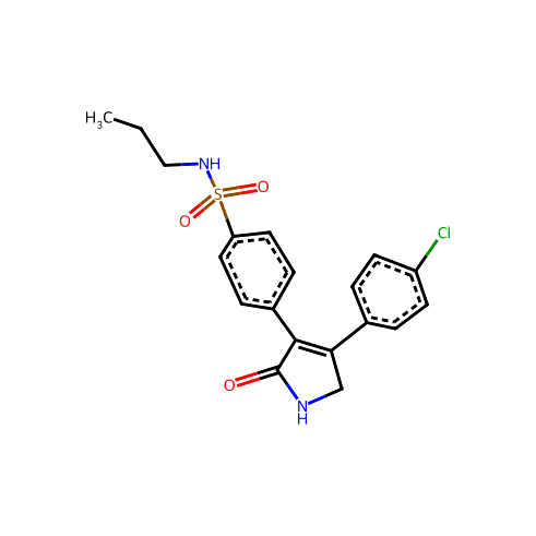 CCCNS(=O)(=O)c1ccc(C2=C(c3ccc(Cl)cc3)CNC2=O)cc1